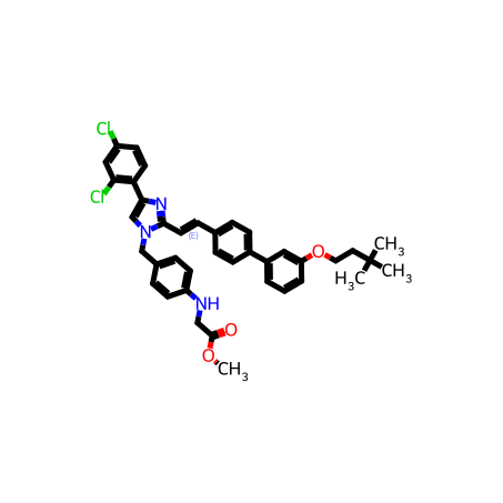 COC(=O)CNc1ccc(Cn2cc(-c3ccc(Cl)cc3Cl)nc2/C=C/c2ccc(-c3cccc(OCCC(C)(C)C)c3)cc2)cc1